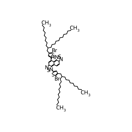 CCCCCCCCCCCCC(CCCCCCCCCC)Cc1cc(-c2cc3c(c4ccc5c(c24)NSN=5)N(c2cc(CC(CCCCCCCCCC)CCCCCCCCCCCC)c(Br)s2)SN=3)sc1Br